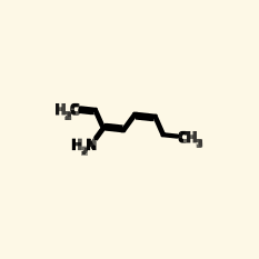 C=C/C(N)=C\C=C/CC